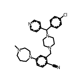 CN1CCCN(c2ccc(C#N)c(CN3CCN(C(c4ccncc4)c4ccc(Cl)cc4)CC3)c2)CC1